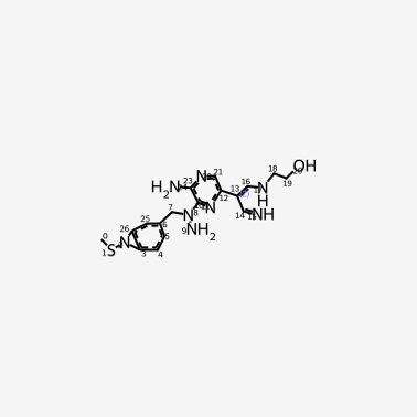 CSN1c2ccc(CN(N)c3nc(/C(C=N)=C/NCCO)cnc3N)cc21